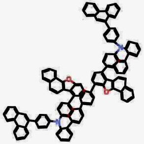 c1ccc(-c2ccccc2N(c2ccc(-c3cc4ccccc4c4ccccc34)cc2)c2ccc(-c3ccc(-c4ccc(-c5ccc(-c6ccccc6N(c6ccc(-c7cc8ccccc8c8ccccc78)cc6)c6ccc(-c7cccc8oc9c%10ccccc%10ccc9c78)cc6)cc5)cc4)c4oc5c6ccccc6ccc5c34)cc2)cc1